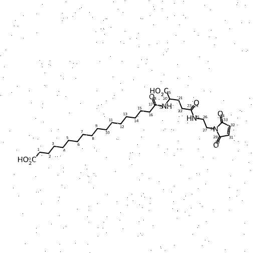 O=C(O)CCCCCCCCCCCCCCCCC(=O)NC(CCC(=O)NCCN1C(=O)C=CC1=O)C(=O)O